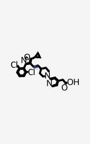 O=C(O)Cc1ccnc(N2CCC(/C=C/c3c(-c4c(Cl)cccc4Cl)noc3C3CC3)CC2)c1